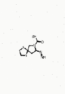 CC(C)C(=O)N1CC2(CC1N=N)SCCS2